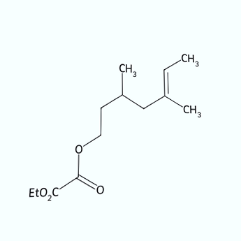 CC=C(C)CC(C)CCOC(=O)C(=O)OCC